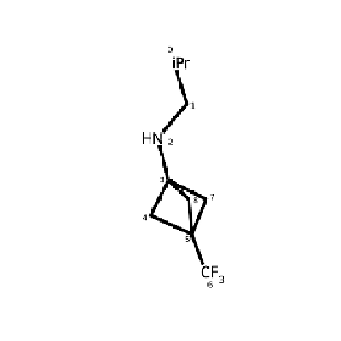 CC(C)CNC12CC(C(F)(F)F)(C1)C2